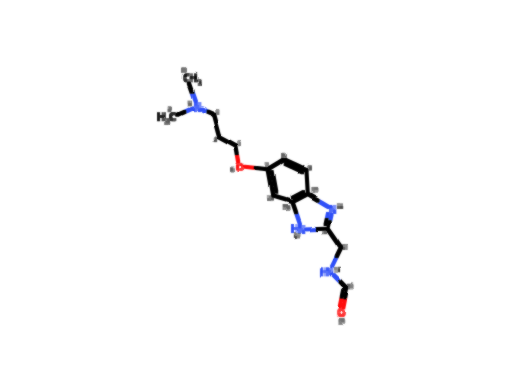 CN(C)CCCOc1ccc2nc(CNC=O)[nH]c2c1